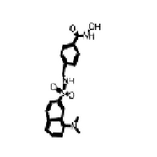 CN(C)c1cccc2ccc(S(=O)(=O)NCc3ccc(C(=O)NO)cc3)cc12